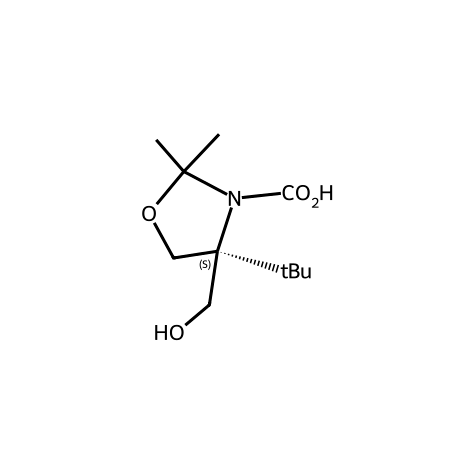 CC1(C)OC[C@@](CO)(C(C)(C)C)N1C(=O)O